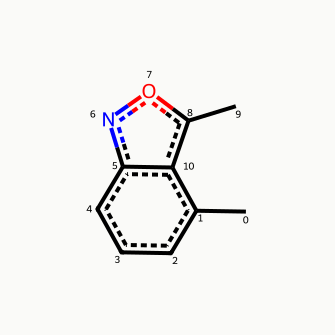 Cc1cccc2noc(C)c12